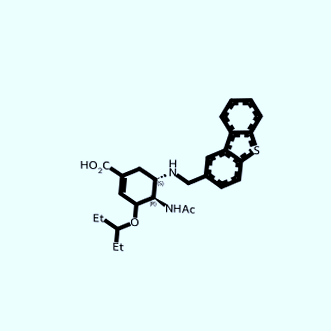 CCC(CC)OC1C=C(C(=O)O)C[C@H](NCc2ccc3sc4ccccc4c3c2)[C@H]1NC(C)=O